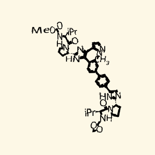 COC(=O)N[C@H](C(=O)N1CCC[C@H]1c1nc(-c2ccnn2C)c(-c2ccc(-c3ccc(-c4cnc([C@@H]5CCCN5C(=O)[C@@H](NC5OCO5)C(C)C)[nH]4)cc3)cc2)[nH]1)C(C)C